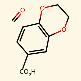 C=O.O=C(O)c1ccc2c(c1)OCCO2